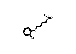 Nc1ccccc1OCCCC[SH](=O)=O